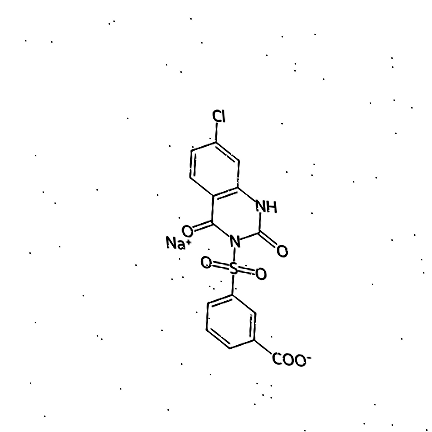 O=C([O-])c1cccc(S(=O)(=O)n2c(=O)[nH]c3cc(Cl)ccc3c2=O)c1.[Na+]